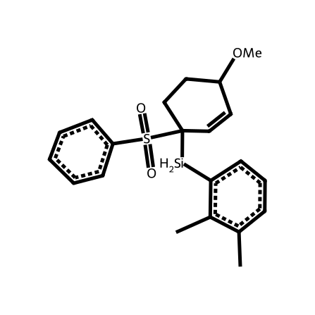 COC1C=CC([SiH2]c2cccc(C)c2C)(S(=O)(=O)c2ccccc2)CC1